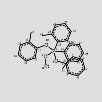 CCOP(Oc1ccccc1)(Oc1ccccc1C)(c1ccccc1C)c1ccccc1C